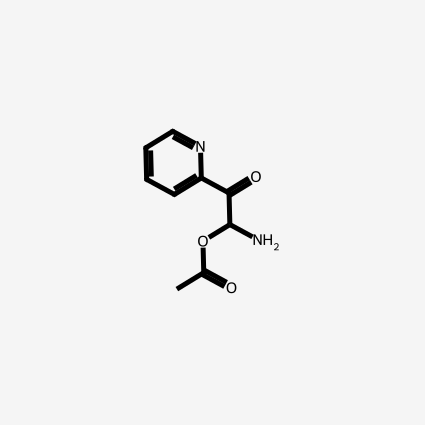 CC(=O)OC(N)C(=O)c1ccccn1